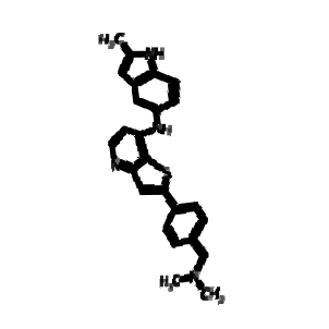 Cc1cc2cc(Nc3ccnc4cc(-c5ccc(CN(C)C)cc5)sc34)ccc2[nH]1